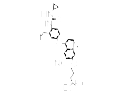 CCN(CC)CCCOc1cc2nccc(Oc3ccc(NC(=O)NC4CC4)c(CI)c3)c2cc1C#N